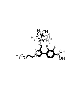 COCCn1cc(-c2ccc(B(O)O)c(F)c2F)c(CO[Si](C)(C)C(C)(C)C)n1